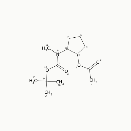 CC(=O)OC1CCCC1N(C)C(=O)OC(C)(C)C